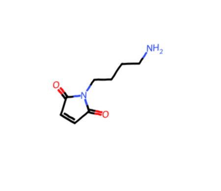 NCCCCN1C(=O)C=CC1=O